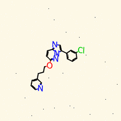 Clc1cccc(-c2cnc3ccc(OCCCc4cccnc4)nn23)c1